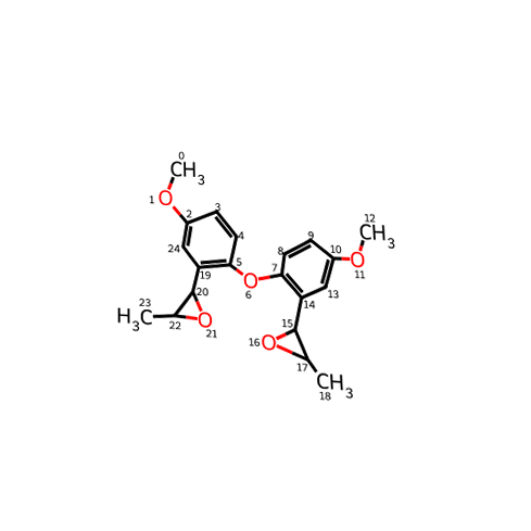 COc1ccc(Oc2ccc(OC)cc2C2OC2C)c(C2OC2C)c1